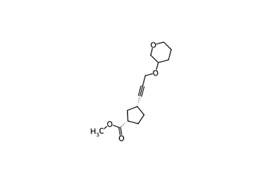 COC(=O)[C@H]1CC[C@@H](C#CCOC2CCCOC2)C1